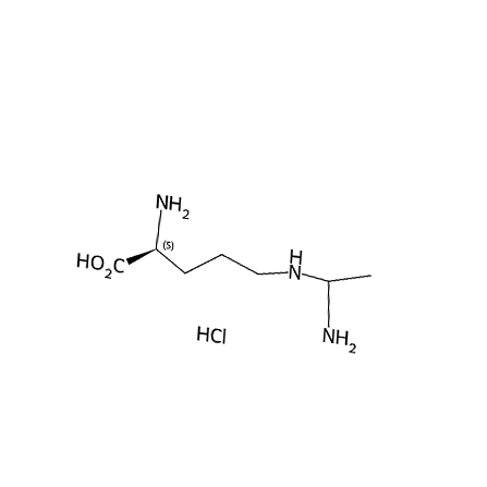 CC(N)NCCC[C@H](N)C(=O)O.Cl